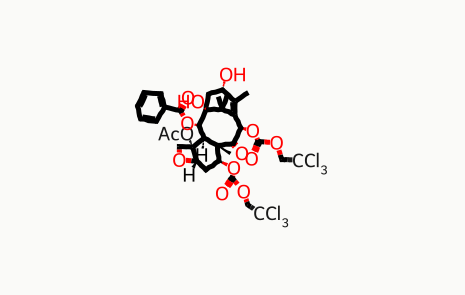 CC(=O)O[C@@]12CO[C@H]1C[C@H](OC(=O)OCC(Cl)(Cl)Cl)[C@@]1(C)C(=O)[C@H](OC(=O)OCC(Cl)(Cl)Cl)C3=C(C)[C@@H](O)C[C@@](O)([C@@H](OC(=O)c4ccccc4)[C@H]21)C3(C)C